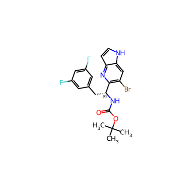 CC(C)(C)OC(=O)N[C@H](Cc1cc(F)cc(F)c1)c1nc2cc[nH]c2cc1Br